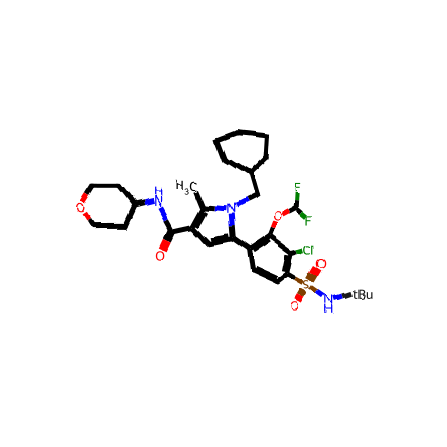 Cc1c(C(=O)NC2CCOCC2)cc(-c2ccc(S(=O)(=O)NC(C)(C)C)c(Cl)c2OC(F)F)n1CC1CCCCC1